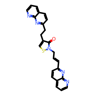 O=c1c(CCc2ccc3cccnc3n2)csn1C/C=C/c1ccc2cccnc2n1